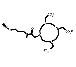 C#[N+][N-]CCCNC(=O)CN1CCN(CC(=O)O)CCN(CC(=O)O)CCN(CC(=O)O)CC1